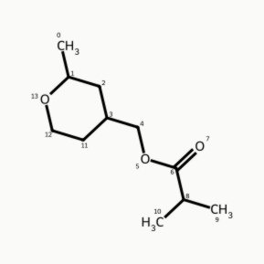 CC1CC(COC(=O)C(C)C)CCO1